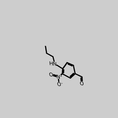 CCCNc1ccc(C=O)cc1[N+](=O)[O-]